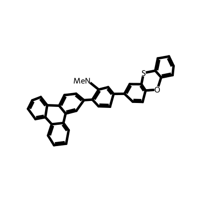 CNc1cc(-c2ccc3c(c2)Sc2ccccc2O3)ccc1-c1ccc2c3ccccc3c3ccccc3c2c1